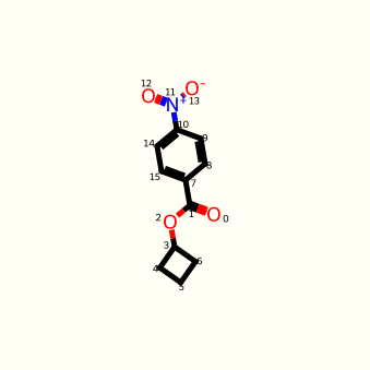 O=C(OC1CCC1)c1ccc([N+](=O)[O-])cc1